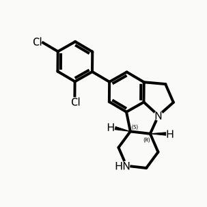 Clc1ccc(-c2cc3c4c(c2)[C@H]2CNCC[C@H]2N4CC3)c(Cl)c1